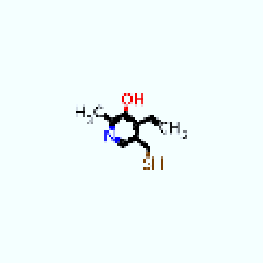 C=Cc1c(CS)cnc(C)c1O